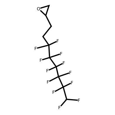 F[C](F)C(F)(F)C(F)(F)C(F)(F)C(F)(F)C(F)(F)CCC1CO1